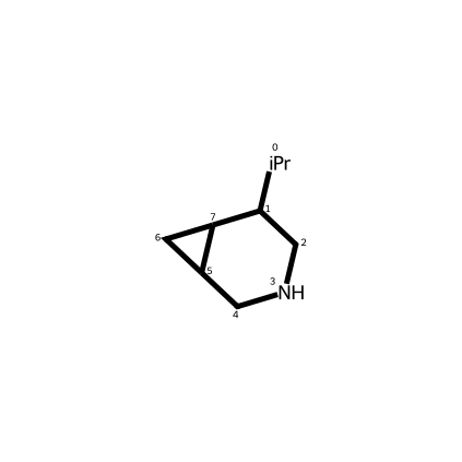 CC(C)C1CNCC2CC21